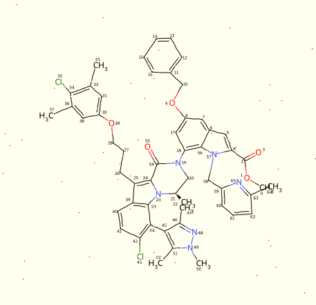 COC(=O)c1cc2cc(OCc3ccccc3)cc(N3C[C@@H](C)n4c(c(CCCOc5cc(C)c(Cl)c(C)c5)c5ccc(Cl)c(-c6c(C)nn(C)c6C)c54)C3=O)c2n1Cc1cccc(C)n1